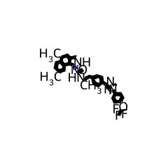 Cc1ccc2c(c1)C1C(=CC2C)CN/C1=N\C(=O)NC(C)Cc1ccc(-c2ncn(-c3ccc(OC(F)(F)F)cc3)n2)cc1